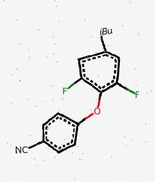 CCC(C)c1cc(F)c(Oc2ccc(C#N)cc2)c(F)c1